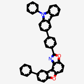 c1ccc(-c2ccc3oc4ccc5oc(-c6ccc(-c7ccc8c(c7)c7ccccc7n8-c7ccccc7)cc6)nc5c4c3c2)cc1